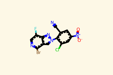 N#Cc1cc([N+](=O)[O-])cc(Cl)c1-n1cc2c(Br)ncc(F)c2n1